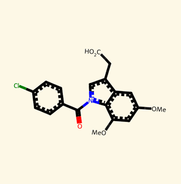 COc1cc(OC)c2c(c1)c(CC(=O)O)cn2C(=O)c1ccc(Cl)cc1